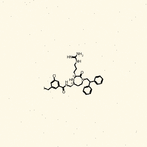 N=C(N)NCCC[C@@H]1N[C@H](CNC(=O)c2cc(Cl)cc(CI)c2)CCN(CC(c2ccccc2)c2ccccc2)C1=O